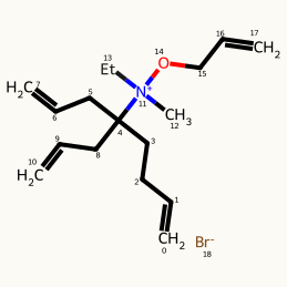 C=CCCC(CC=C)(CC=C)[N+](C)(CC)OCC=C.[Br-]